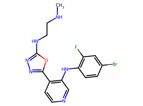 CNCCNc1nnc(-c2ccncc2Nc2ccc(Br)cc2F)o1